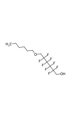 CCCCCCOCC(F)(F)C(F)(F)C(F)(F)C(F)(F)CO